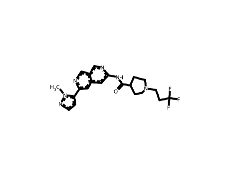 Cn1nccc1-c1cc2cc(NC(=O)C3CCN(CCC(F)(F)F)CC3)ncc2cn1